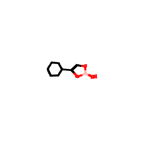 OB1OCC(C2CCCCC2)O1